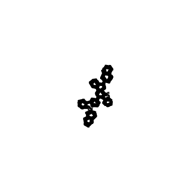 c1ccc2c(c1)-c1cc(-c3ccc4c(c3)c3ccccc3n4-c3ccc4ccccc4c3)c3c(sc4ccccc43)c1CC2c1ccc2ccccc2c1